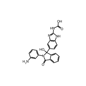 Nc1cccc(N2C(=O)c3ccccc3C2(O)c2ccc3[nH]c(NC(=O)O)nc3c2)c1